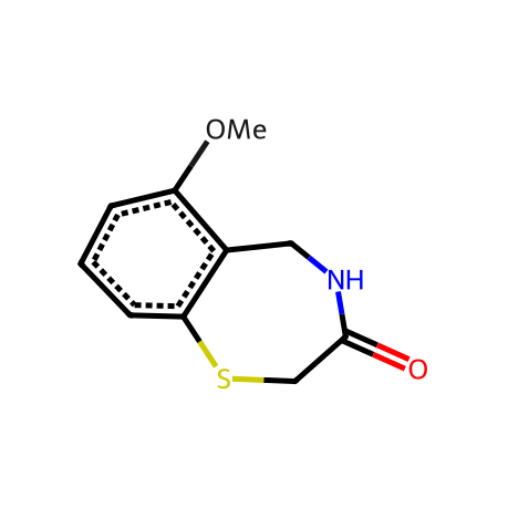 COc1cccc2c1CNC(=O)CS2